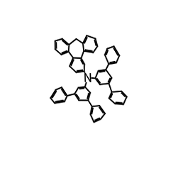 c1ccc(-c2cc(-c3ccccc3)cc(N(c3cc(-c4ccccc4)cc(-c4ccccc4)c3)c3ccc4c(c3)-c3ccccc3Cc3ccccc3-4)c2)cc1